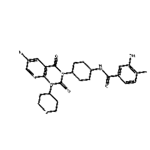 Cc1ccc(C(=O)NC2CCC(n3c(=O)c4cc(F)cnc4n(C4CCSCC4)c3=O)CC2)cc1O